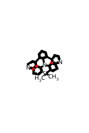 C[Si]1(C)c2ccccc2N(c2c(-c3ccncc3)cccc2-c2ccncc2)c2ccccc21